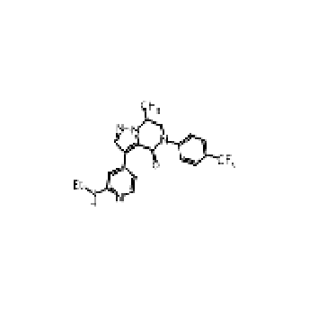 CCNc1cc(-c2cnn3c2C(=O)N(c2ccc(C(F)(F)F)cc2)CC3C)ccn1